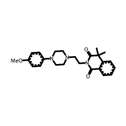 COc1ccc(N2CCN(CCN3C(=O)c4ccccc4C(C)(C)C3=O)CC2)cc1